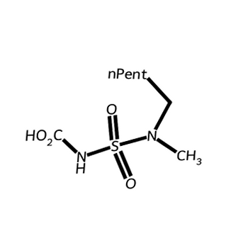 CCCCCCN(C)S(=O)(=O)NC(=O)O